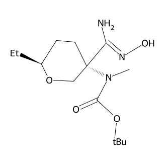 CC[C@H]1CC[C@](/C(N)=N/O)(N(C)C(=O)OC(C)(C)C)CO1